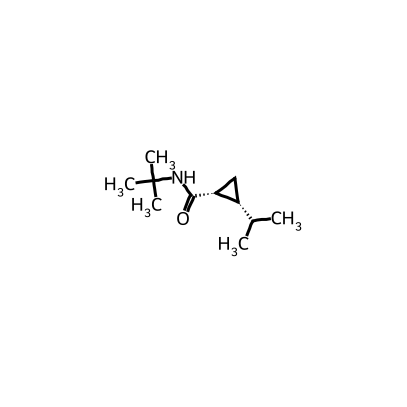 CC(C)[C@H]1C[C@H]1C(=O)NC(C)(C)C